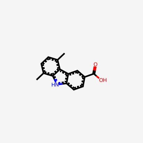 Cc1ccc(C)c2c1[nH]c1ccc(C(=O)O)cc12